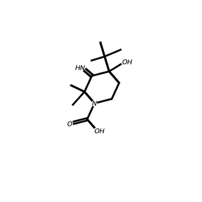 CC1(C)C(=N)C(O)(C(C)(C)C)CCN1C(=O)O